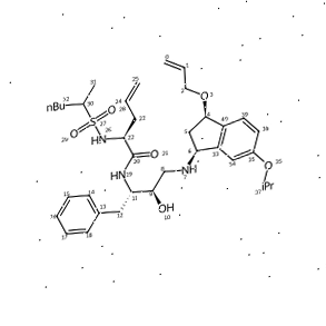 C=CCO[C@@H]1C[C@H](NC[C@@H](O)[C@H](Cc2ccccc2)NC(=O)[C@H](CC=C)NS(=O)(=O)C(C)CCCC)c2cc(OC(C)C)ccc21